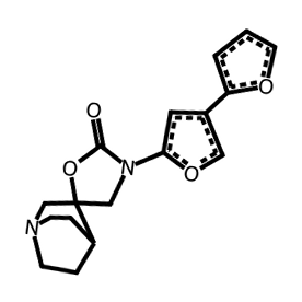 O=C1OC2(CN3CCC2CC3)CN1c1cc(-c2ccco2)co1